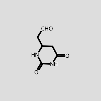 O=CCC1CC(=O)NC(=O)N1